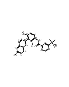 CC(C)(C#N)c1ccnc(C(=O)Nc2ccc(Cl)c(-c3cnc4cc(Cl)ncc4c3)c2F)c1